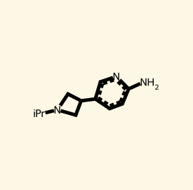 CC(C)N1CC(c2ccc(N)nc2)C1